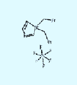 CC(C)C[N+]1(CC(C)C)C=CN=C1.F[P-](F)(F)(F)(F)F